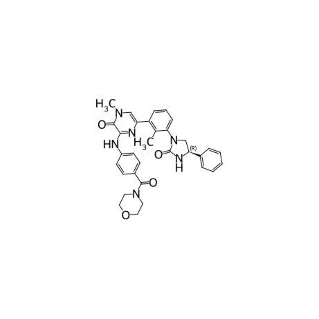 Cc1c(-c2cn(C)c(=O)c(Nc3ccc(C(=O)N4CCOCC4)cc3)n2)cccc1N1C[C@@H](c2ccccc2)NC1=O